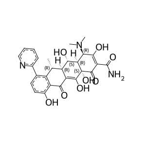 C[C@H]1c2c(-c3ccccn3)ccc(O)c2C(=O)C2=C(O)[C@]3(O)C(=O)C(C(N)=O)=C(O)[C@H](N(C)C)[C@@H]3[C@@H](O)[C@@H]21